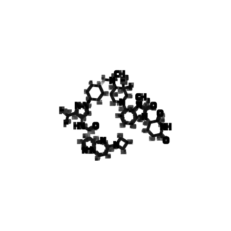 CN(C[C@H]1CC[C@H](n2cc(NC(=O)c3cnn4ccc(N5CCC5)nc34)c(C(F)F)n2)CC1)C1CCN(c2cccc3c2n(C)c(=O)n3C2CCC(=O)NC2=O)CC1(F)F